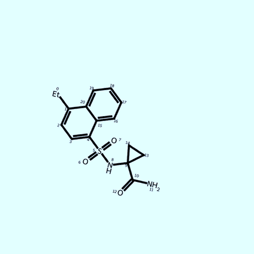 CCc1ccc(S(=O)(=O)NC2(C(N)=O)CC2)c2ccccc12